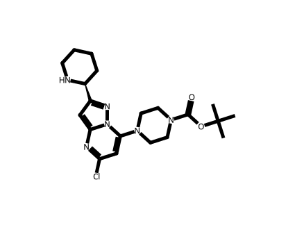 CC(C)(C)OC(=O)N1CCN(c2cc(Cl)nc3cc([C@@H]4CCCCN4)nn23)CC1